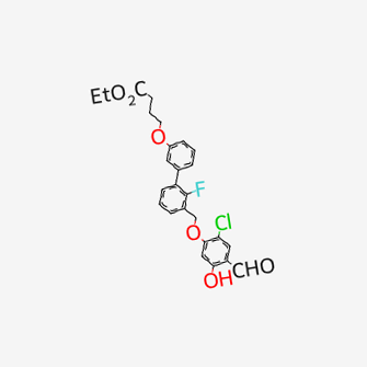 CCOC(=O)CCCOc1cccc(-c2cccc(COc3cc(O)c(C=O)cc3Cl)c2F)c1